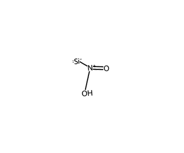 O=[N+](O)[Si-]